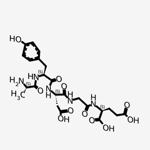 C[C@H](N)C(=O)N[C@@H](Cc1ccc(O)cc1)C(=O)N[C@@H](CC(=O)O)C(=O)NCC(=O)N[C@@H](CCC(=O)O)C(=O)O